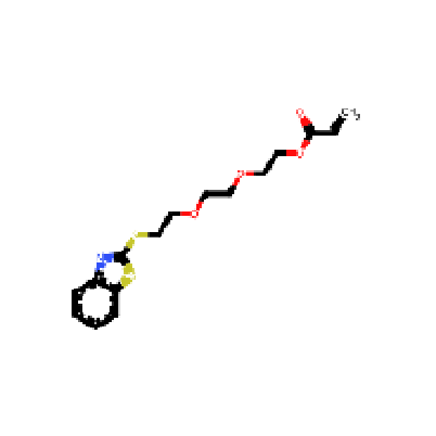 C=CC(=O)OCCOCCOCCSc1nc2ccccc2s1